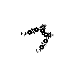 Nc1ccc(S(=O)(=O)c2ccc(Oc3cc4c(cc3S(=O)(=O)O)-c3cc(S(=O)(=O)O)c(Oc5ccc(S(=O)(=O)c6ccc(N)cc6)cc5)cc3C4)cc2)cc1